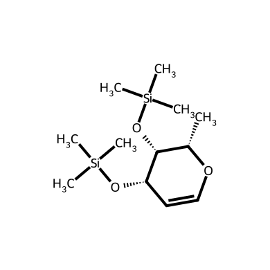 C[C@@H]1OC=C[C@H](O[Si](C)(C)C)[C@@H]1O[Si](C)(C)C